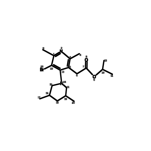 Cc1nc(C)c(CC(=O)OC(C)C)c(N2CC(C)CC(C)C2)c1Br